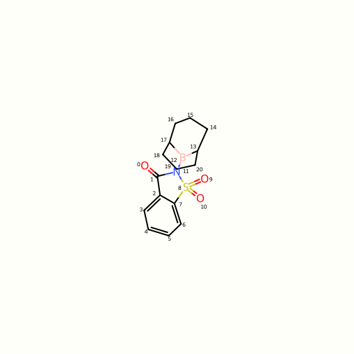 O=C1c2ccccc2S(=O)(=O)N1B1C2CCCC1CCC2